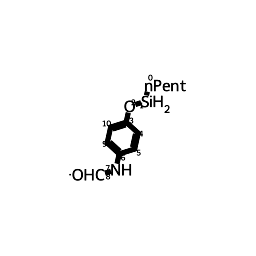 CCCCC[SiH2]Oc1ccc(N[C]=O)cc1